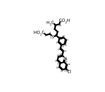 CC(CCC(SCCC(=O)O)c1cccc(/C=C/c2ccc3ccc(Cl)cc3n2)c1)CC(=O)O